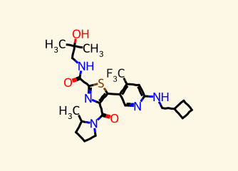 CC1CCCN1C(=O)c1nc(C(=O)NCC(C)(C)O)sc1-c1cnc(NCC2CCC2)cc1C(F)(F)F